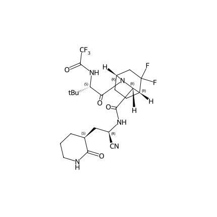 CC(C)(C)[C@H](NC(=O)C(F)(F)F)C(=O)N1[C@@H]2CC[C@H]([C@@H]1C(=O)N[C@@H](C#N)C[C@@H]1CCCNC1=O)C(F)(F)C2